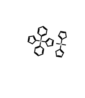 C1=CC[C]([Ti]([C]2=CC=CC2)([c]2ccccc2)[c]2ccccc2)=C1.[CH3][Ti]([CH3])([C]1=CC=CC1)[C]1=CC=CC1